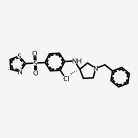 C[C@@]1(Nc2ccc(S(=O)(=O)c3n[c]cs3)cc2Cl)CCN(Cc2ccccc2)C1